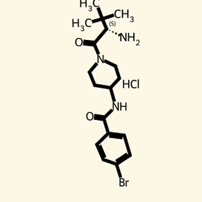 CC(C)(C)[C@H](N)C(=O)N1CCC(NC(=O)c2ccc(Br)cc2)CC1.Cl